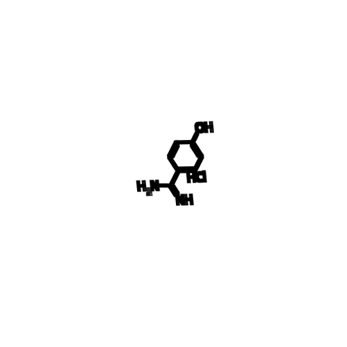 Cl.N=C(N)c1ccc(O)cc1